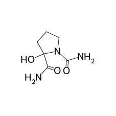 NC(=O)N1CCCC1(O)C(N)=O